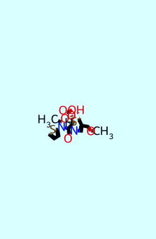 COCC1=CN2C(=O)C(N(C(C)=O)c3cccs3)[C@H]2[S+]([O-])C1.O=CO